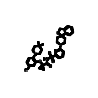 CC1(C)CCN(c2ccc(Cl)cc2OC2(C(=O)NS(=O)(=O)c3cccc(N4CCC5(CC4)OCc4ccccc45)n3)CC2)CC1